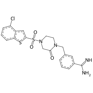 N=C(N)c1cccc(CN2CCN(S(=O)(=O)c3cc4c(Cl)cccc4s3)CC2=O)c1